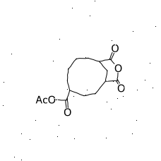 CC(=O)OC(=O)C1CCCCC2CC(CC1)C(=O)OC2=O